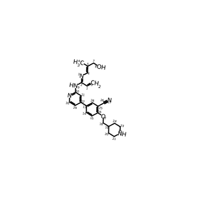 C=C/C(=N\C=C(/C)CO)Nc1cc(-c2ccc(OCC3CCNCC3)c(C#N)c2)ccn1